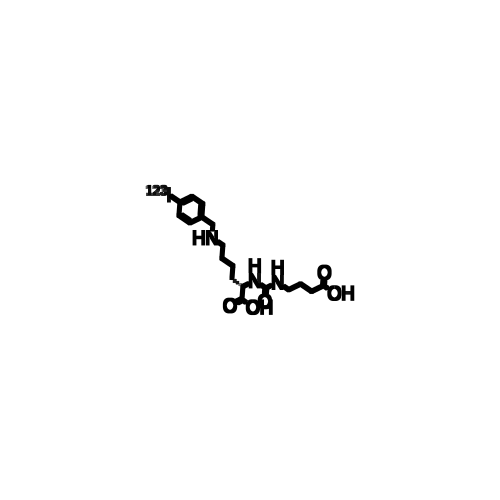 O=C(O)CCCNC(=O)N[C@@H](CCCCNCc1ccc([123I])cc1)C(=O)O